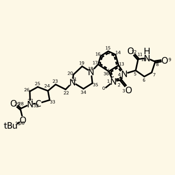 Cn1c(=O)n(C2CCC(=O)NC2=O)c2cccc(N3CCN(CCC4CCN(C(=O)OC(C)(C)C)CC4)CC3)c21